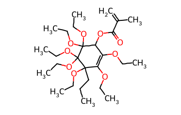 C=C(C)C(=O)OC1C(OCC)=C(OCC)C(CCC)(OCC)C(OCC)(OCC)C1(OCC)OCC